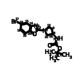 CC(C)(C)OC(=O)N[C@@H]1CCN(c2nc3cc(Br)ccc3o2)C1